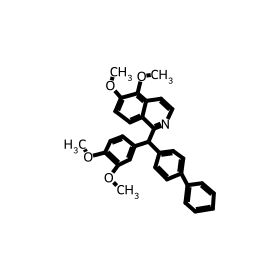 COc1ccc(C(c2ccc(-c3ccccc3)cc2)c2nccc3c(OC)c(OC)ccc23)cc1OC